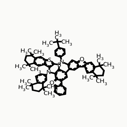 CC(C)(C)c1ccc(N2B3c4sc5cc6c(cc5c4N(c4ccc5c(c4)C(C)(C)CCC5(C)C)c4c3c(cc3c4oc4ccccc43)-c3cc4c(cc32)oc2cc3c(cc24)C(C)(C)CCC3(C)C)C(C)(C)CCC6(C)C)cc1